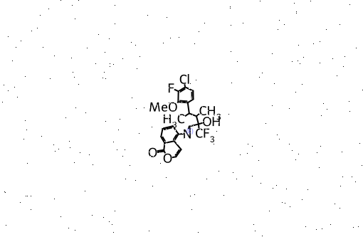 COc1c(C(C)C(C)C(O)(/C=N/c2cccc3c(=O)occc23)C(F)(F)F)ccc(Cl)c1F